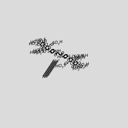 O=C(CCC(=O)Nc1ccc(S[C@@H]2O[C@H](COS(=O)(=O)O)[C@@H](O[C@@H]3O[C@H](COS(=O)(=O)O)[C@@H](OS(=O)(=O)O)[C@H](OS(=O)(=O)O)[C@H]3OS(=O)(=O)O)[C@H](OS(=O)(=O)O)[C@H]2OS(=O)(=O)O)cc1)Nc1ccc(S[C@@H]2O[C@H](COS(=O)(=O)O)[C@@H](O[C@@H]3O[C@H](COS(=O)(=O)O)[C@@H](OS(=O)(=O)O)[C@H](OS(=O)(=O)O)[C@H]3OS(=O)(=O)O)[C@H](OS(=O)(=O)O)[C@H]2OS(=O)(=O)O)cc1.[Na+].[Na+].[Na+].[Na+].[Na+].[Na+].[Na+].[Na+].[Na+].[Na+].[Na+].[Na+].[Na+].[Na+]